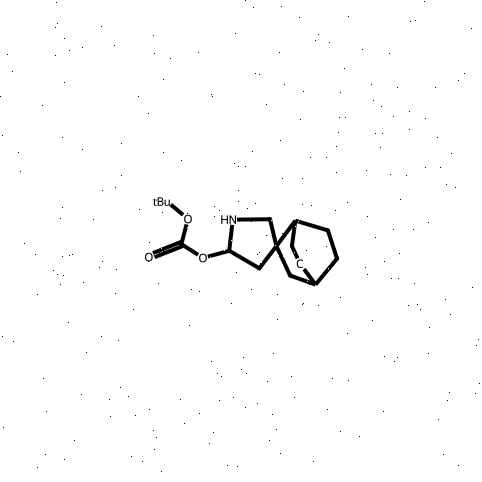 CC(C)(C)OC(=O)OC1CC2(CN1)CC1CCC2CC1